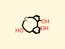 OC1=CC=C2CCC(O)CCCCC3C=CC(O)=C(C3)C1C2